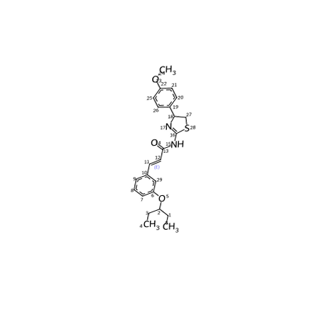 CCC(CC)Oc1cccc(/C=C/C(=O)NC2=NC(c3ccc(OC)cc3)CS2)c1